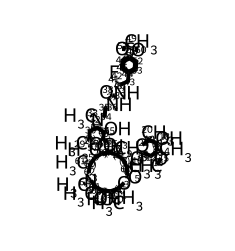 CC[C@H]1OC(=O)[C@H](C)[C@@H](CO[C@H]2C[C@@](C)(OC)[C@@H](O)[C@H](C)O2)[C@H](C)[C@@H](O[C@@H]2O[C@H](C)C[C@H](N(C)CCNC(=O)N[C@H](CF)Cc3ccc(S(C)(=O)=O)cc3)[C@H]2O)[C@](C)(O)C[C@@H](C)CN(C)[C@H](C)[C@@H](O)[C@]1(C)O